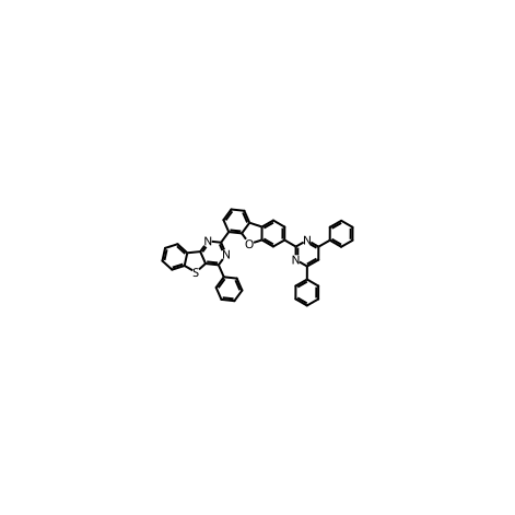 c1ccc(-c2cc(-c3ccccc3)nc(-c3ccc4c(c3)oc3c(-c5nc(-c6ccccc6)c6sc7ccccc7c6n5)cccc34)n2)cc1